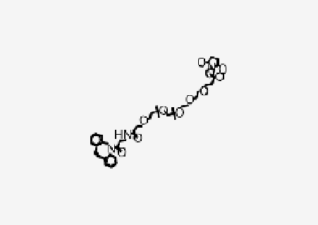 CC(C)(CCOCCC(=O)NCCC(=O)N1Cc2ccccc2C#Cc2ccccc21)OCC(C)(C)OCCOCCOCCC(=O)ON1C(=O)CCC1=O